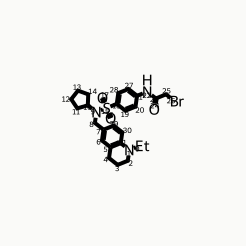 CCN1CCCc2cc(CN(C3CCCC3)S(=O)(=O)c3ccc(NC(=O)CBr)cc3)ccc21